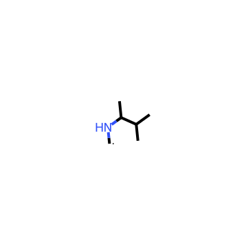 [CH2]NC(C)C(C)C